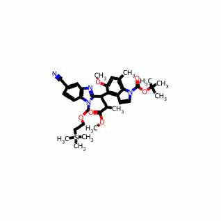 COC(=O)C(C)C(c1c(OC)cc(C)c2c1ccn2C(=O)OC(C)(C)C)c1nc2cc(C#N)ccc2n1COCC[Si](C)(C)C